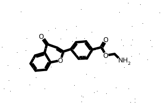 NCOC(=O)c1ccc(-c2cc(=O)c3ccccc3o2)cc1